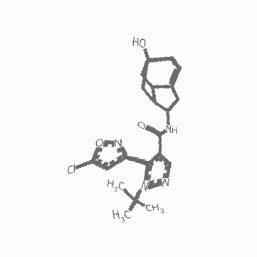 CC(C)(C)n1ncc(C(=O)NC2CC3=CCC4(O)CC3C2C4)c1-c1cc(Cl)on1